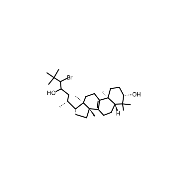 C[C@H](CC(O)C(Br)C(C)(C)C)[C@H]1CC[C@@]2(C)C3=C(CC[C@]12C)[C@@]1(C)CC[C@H](O)C(C)(C)[C@@H]1CC3